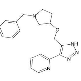 c1ccc(CN2CCC(OCc3[nH]nnc3-c3ccccn3)C2)cc1